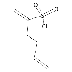 C=CCCC(=C)S(=O)(=O)Cl